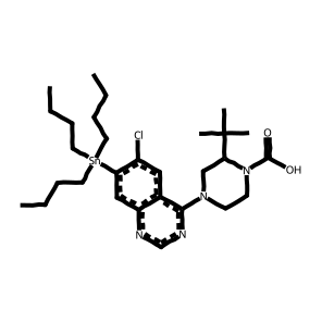 CCC[CH2][Sn]([CH2]CCC)([CH2]CCC)[c]1cc2ncnc(N3CCN(C(=O)O)C(C(C)(C)C)C3)c2cc1Cl